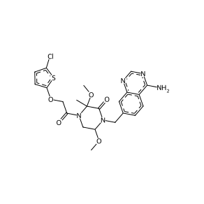 COC1CN(C(=O)COc2ccc(Cl)s2)C(C)(OC)C(=O)N1Cc1ccc2c(N)ncnc2c1